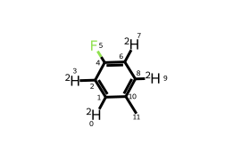 [2H]c1c([2H])c(F)c([2H])c([2H])c1C